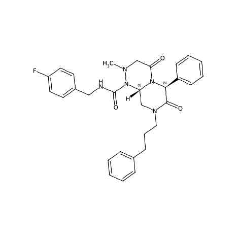 CN1CC(=O)N2[C@@H](c3ccccc3)C(=O)N(CCCc3ccccc3)C[C@@H]2N1C(=O)NCc1ccc(F)cc1